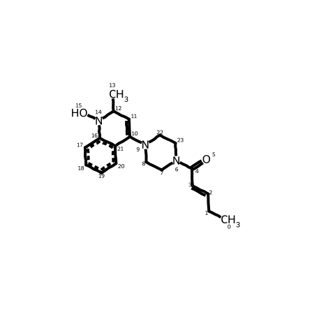 CC/C=C/C(=O)N1CCN(C2=CC(C)N(O)c3ccccc32)CC1